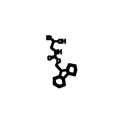 CCC(O)CNC(=O)OCC1c2ccccc2-c2ccccc21